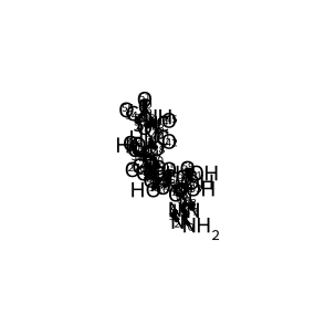 Nc1ncnc2c1ncn2[C@@H]1O[C@H](C(=C=O)OP(=O)(O)OP(=O)(O)OC(=C=O)C(C=C=O)(C=C=O)[C@@H](O)C(=O)NC(=C=O)C(=C=O)C(=O)NC(=C=O)C(S)=C=O)[C@@H](OP(=O)(O)O)[C@H]1O